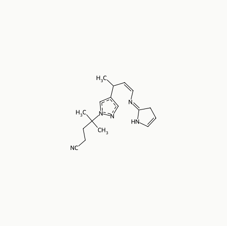 CC(/C=C\N=C1/CC=CN1)c1cnn(C(C)(C)CCC#N)c1